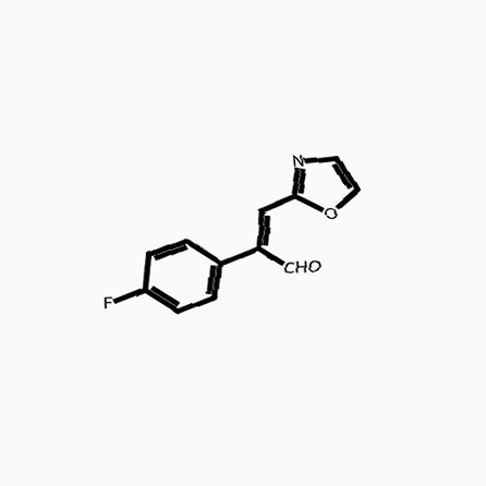 O=CC(=Cc1ncco1)c1ccc(F)cc1